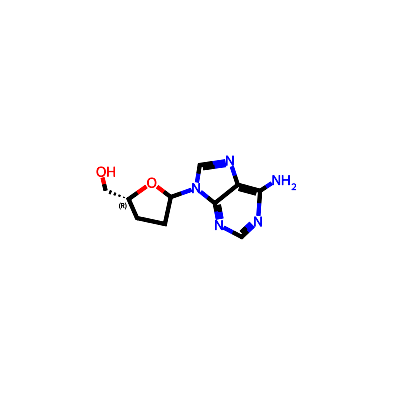 Nc1ncnc2c1ncn2C1CC[C@H](CO)O1